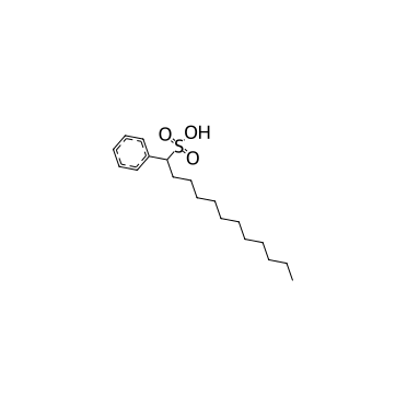 CCCCCCCCCCCC(c1ccccc1)S(=O)(=O)O